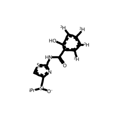 [2H]c1c([2H])c([2H])c(C(=O)Nc2nc([S+]([O-])C(C)C)cs2)c(O)c1[2H]